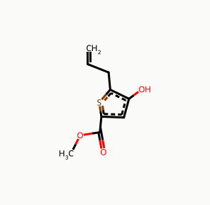 C=CCc1sc(C(=O)OC)cc1O